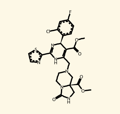 COC(=O)C1=C(CN2CCN3C(=O)NC[C@@]3(C(=O)OC)C2)NC(c2nccs2)=N[C@H]1c1ccc(F)cc1Cl